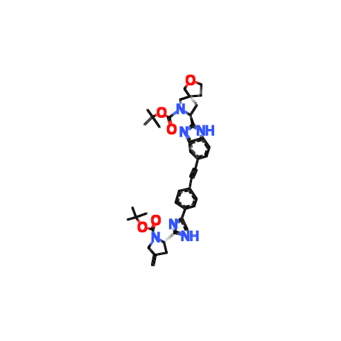 C=C1C[C@@H](c2nc(-c3ccc(C#Cc4ccc5[nH]c([C@@H]6C[C@]7(CCOC7)CN6C(=O)OC(C)(C)C)nc5c4)cc3)c[nH]2)N(C(=O)OC(C)(C)C)C1